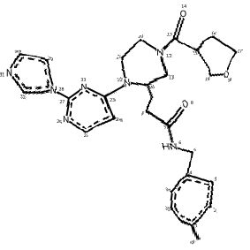 Cc1ccc(CNC(=O)CC2CN(C(=O)C3CCOC3)CCN2c2ccnc(-n3ccnc3)n2)cc1